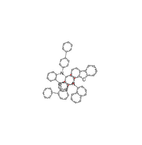 c1ccc(-c2ccc(N(c3ccccc3-c3cccc(N(c4cccc5ccccc45)c4cccc5c4oc4ccccc45)c3)c3cccc4c3oc3c(-c5ccccc5)cccc34)cc2)cc1